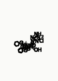 C[C@H](NP(=O)(Oc1ccccc1)OC1C[C@H](n2cnc3c(N)nc(Cl)nc32)O[C@@H]1CO)C(=O)OC1CCCCC1